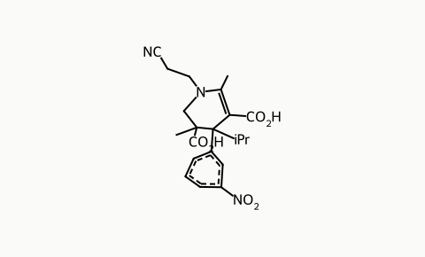 CC1=C(C(=O)O)C(c2cccc([N+](=O)[O-])c2)(C(C)C)C(C)(C(=O)O)CN1CCC#N